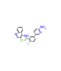 C[C@@H](Nc1c(Cl)cnc2ccccc12)c1cc(-c2ccc(N)nc2)ccc1F